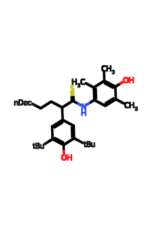 CCCCCCCCCCCCC(C(=S)Nc1cc(C)c(O)c(C)c1C)c1cc(C(C)(C)C)c(O)c(C(C)(C)C)c1